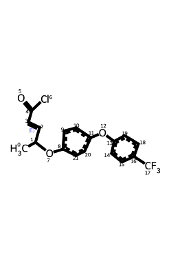 CC(/C=C/C(=O)Cl)Oc1ccc(Oc2ccc(C(F)(F)F)cc2)cc1